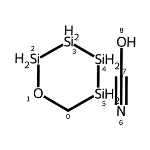 C1O[SiH2][SiH2][SiH2][SiH2]1.N#CO